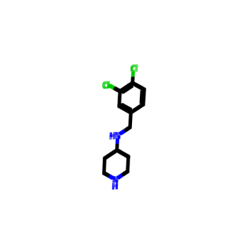 Clc1ccc(CNC2CCNCC2)cc1Cl